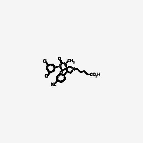 CN1C(=O)N(c2cc(Cl)cc(Cl)c2)C(=O)C12CN(CCCCC(=O)O)CC2c1ccc(C#N)cc1